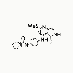 CSc1nc(Nc2ccc(NC(=O)N3CCCC3)cc2)c2c(=O)[nH]ccc2n1